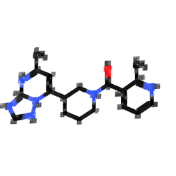 Cc1cc(C2CCCN(C(=O)c3cccnc3C)C2)n2ncnc2n1